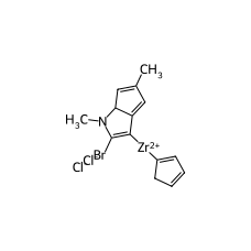 CC1=CC2C(=C1)[C]([Zr+2][C]1=CC=CC1)=C(Br)N2C.[Cl-].[Cl-]